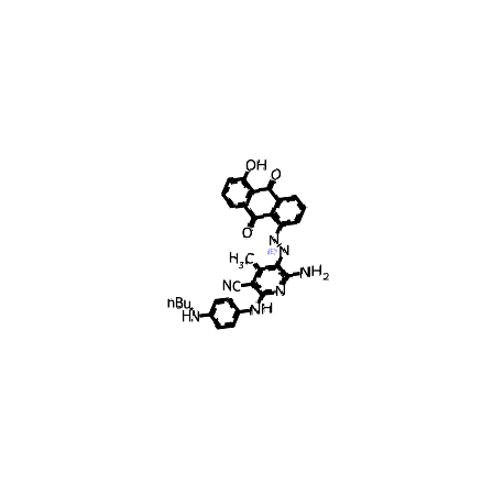 CCCCNc1ccc(Nc2nc(N)c(/N=N/c3cccc4c3C(=O)c3cccc(O)c3C4=O)c(C)c2C#N)cc1